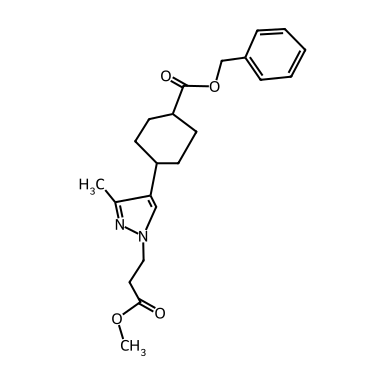 COC(=O)CCn1cc(C2CCC(C(=O)OCc3ccccc3)CC2)c(C)n1